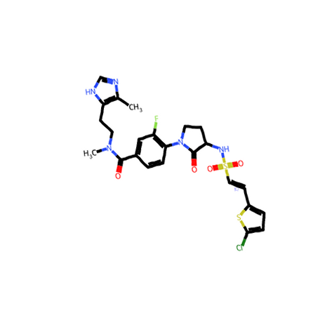 Cc1nc[nH]c1CCN(C)C(=O)c1ccc(N2CCC(NS(=O)(=O)/C=C/c3ccc(Cl)s3)C2=O)c(F)c1